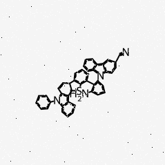 N#Cc1ccc2c(c1)c1ccccc1n2-c1cccc(N)c1-c1cccc2c1SC1c3c(n(-c4ccccc4)c4ccccc34)C=CC21